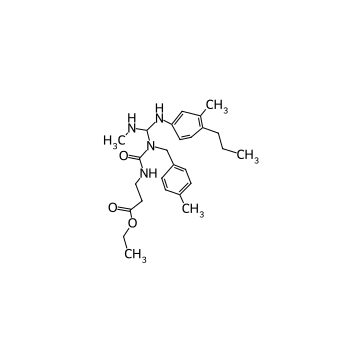 CCCc1ccc(NC(NC)N(Cc2ccc(C)cc2)C(=O)NCCC(=O)OCC)cc1C